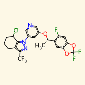 C[C@H](Oc1cncc(-n2nc(C(F)(F)F)c3c2C(Cl)CCC3)c1)c1cc2c(cc1F)OC(F)(F)O2